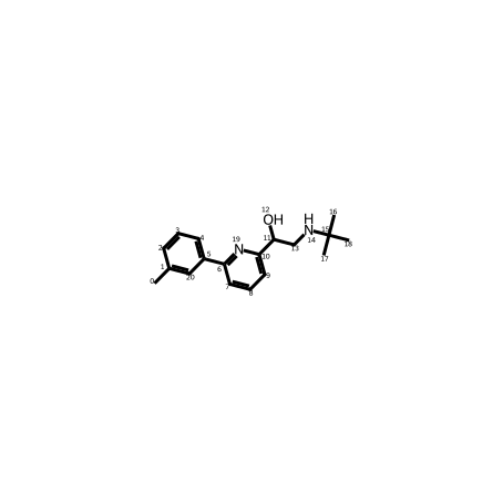 Cc1cccc(-c2cccc(C(O)CNC(C)(C)C)n2)c1